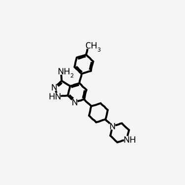 Cc1ccc(-c2cc(C3CCC(N4CCNCC4)CC3)nc3[nH]nc(N)c23)cc1